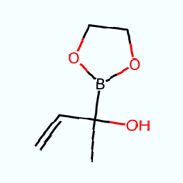 C=CC(C)(O)B1OCCO1